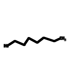 CCCCC[CH]CS